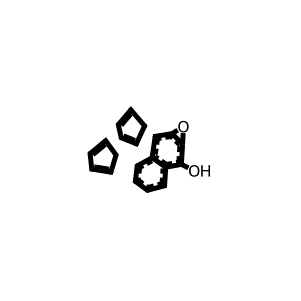 C1=CCC=C1.C1=CCC=C1.Oc1c2c(cc3ccccc13)O2